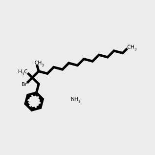 CCCCCCCCCCCCC(C)C(C)(Br)Cc1ccccc1.N